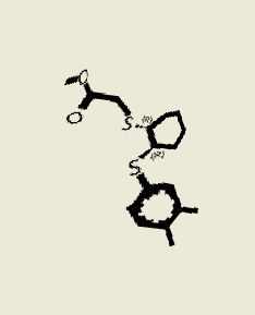 COC(=O)CS[C@@H]1CCCC[C@H]1Sc1ccc(C)c(C)c1